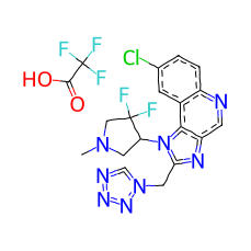 CN1CC(n2c(Cn3cnnn3)nc3cnc4ccc(Cl)cc4c32)C(F)(F)C1.O=C(O)C(F)(F)F